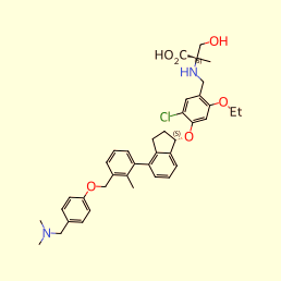 CCOc1cc(O[C@H]2CCc3c(-c4cccc(COc5ccc(CN(C)C)cc5)c4C)cccc32)c(Cl)cc1CN[C@@](C)(CO)C(=O)O